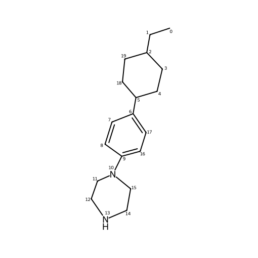 CCC1CCC(c2ccc(N3CCNCC3)cc2)CC1